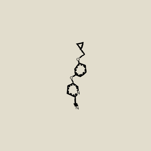 N#Cc1ccc(Oc2cccc(OCC3CC3)c2)cn1